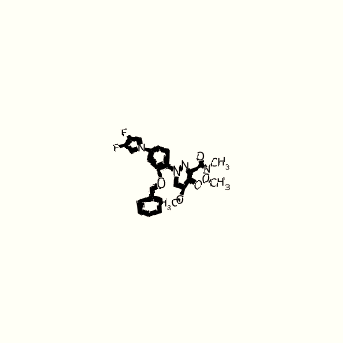 COc1cn(-c2ccc(-n3cc(F)c(F)c3)cc2OCc2ccccc2)nc(C(=O)N(C)OC)c1=O